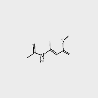 C=C(C)N/C(C)=C/C(=C)SC